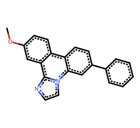 COc1ccc2c3ccc(-c4ccccc4)cc3n3ccnc3c2c1